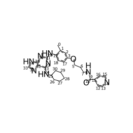 Cc1cc(OCCCNC(=O)c2ccncc2)ccc1Nc1nc(NC2CCCCC2)c2nc[nH]c2n1